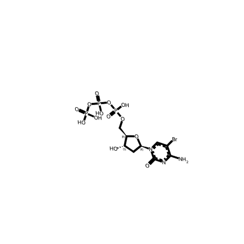 Nc1nc(=O)n([C@H]2C[C@H](O)[C@@H](COP(=O)(O)OP(=O)(O)OP(=O)(O)O)O2)cc1Br